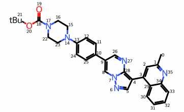 Cc1cc(-c2cnn3cc(-c4ccc(N5CCN(C(=O)OC(C)(C)C)CC5)cc4)cnc23)c2ccccc2n1